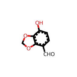 O=Cc1ccc(O)c2c1OCO2